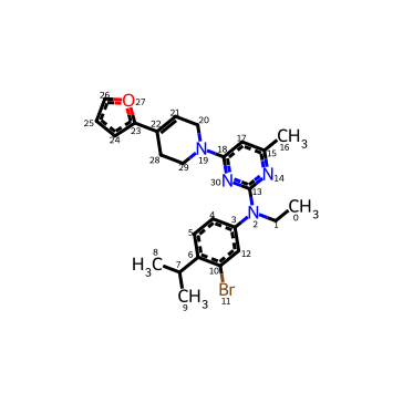 CCN(c1ccc(C(C)C)c(Br)c1)c1nc(C)cc(N2CC=C(c3ccco3)CC2)n1